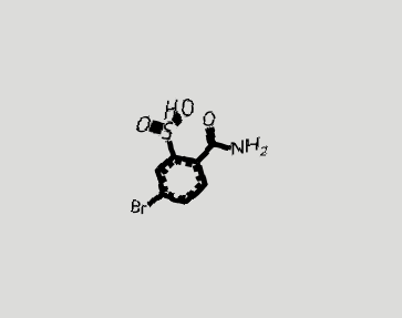 NC(=O)c1ccc(Br)cc1[SH](=O)=O